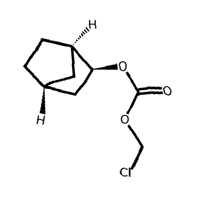 O=C(OCCl)O[C@H]1C[C@@H]2CC[C@@H]1C2